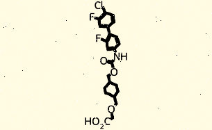 O=C(O)COCC1CCC(COC(=O)Nc2ccc(-c3ccc(Cl)c(F)c3)c(F)c2)CC1